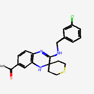 CNC(=O)c1ccc2c(c1)NC1(CCSCC1)C(NCc1cccc(Cl)c1)=N2